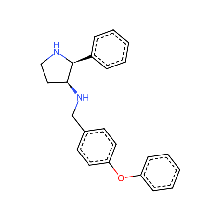 c1ccc(Oc2ccc(CN[C@H]3CCN[C@H]3c3ccccc3)cc2)cc1